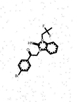 CC(F)(F)Cn1c(=N)n(CC(=O)c2ccc(Br)cc2)c2ccccc21